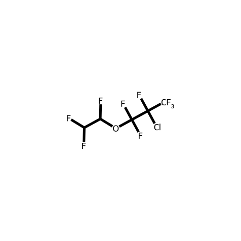 FC(F)C(F)OC(F)(F)C(F)(Cl)C(F)(F)F